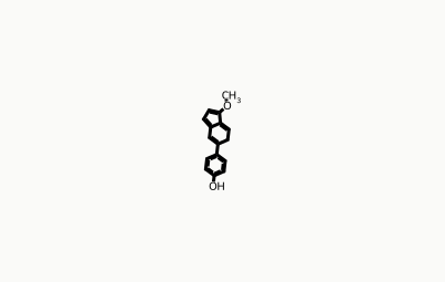 COC1=CC=C2C=C(c3ccc(O)cc3)CC=C21